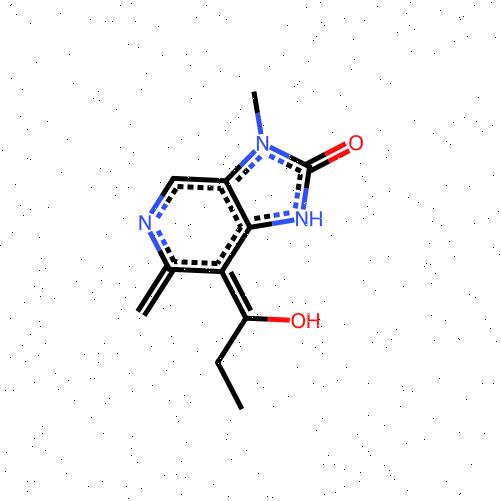 C=c1ncc2c([nH]c(=O)n2C)/c1=C(\O)CC